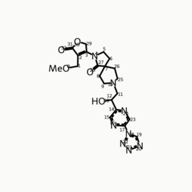 COCC1=C(N2CCC3(CCN(CC(O)c4cnc(-n5cnnn5)cn4)CC3)C2=O)COC1=O